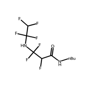 CCCCNC(=O)C(F)C(F)(F)NC(F)(F)C(F)F